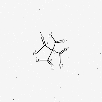 CC[C](=O)[Zr]([C](=O)CC)([C](=O)CC)[C](=O)CC